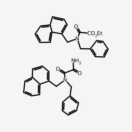 CCOC(=O)C(=O)N(Cc1ccccc1)Cc1cccc2ccccc12.NC(=O)C(=O)N(Cc1ccccc1)Cc1cccc2ccccc12